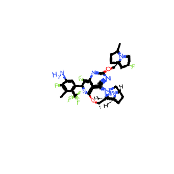 Cc1c(F)c(N)cc(-c2nc3c4c(nc(OC[C@@]56CCC(C)N5C[C@H](F)C6)nc4c2F)N2C[C@H]4CC[C@H](N4)[C@H]2[C@H](C)O3)c1C(F)(F)F